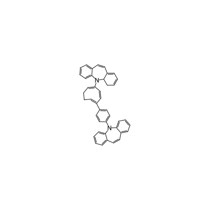 C1=CCC2C(=C1)C=Cc1ccccc1N2C1=C/CC/C=C(c2ccc(N3c4ccccc4C=Cc4ccccc43)cc2)/C=C\1